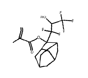 C=C(C)C(=O)OC1(C(F)(F)C(O)C(F)(F)F)C2CC3CC(C2)CC1C3